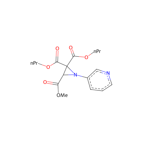 CCCOC(=O)C1(C(=O)OCCC)C(C(=O)OC)N1c1cccnc1